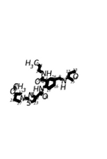 CCCNC(=O)c1cc(CN[C@H]2CCOC2)ccc1NC(=O)c1csc(N2CC[C@H](OC)C2)n1